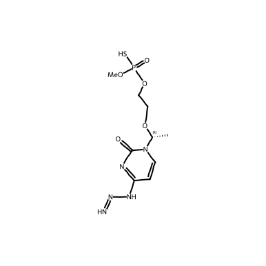 COP(=O)(S)OCCO[C@H](C)n1ccc(NN=N)nc1=O